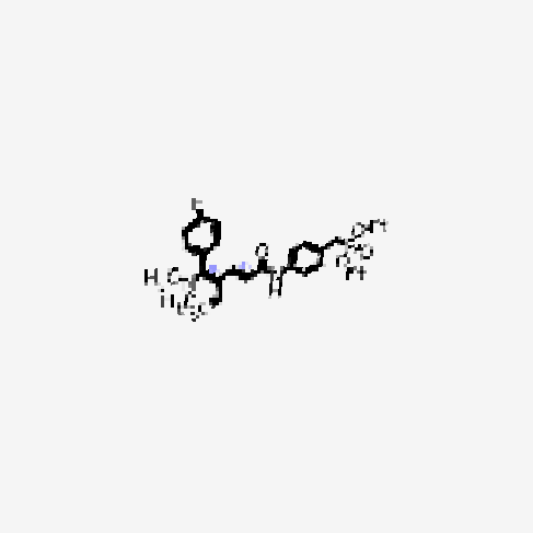 C=CC(/C=C/C(=O)Nc1ccc(CP(=O)(OCC)OCC)cc1)=C(/c1ccc(F)cc1)N(C)C